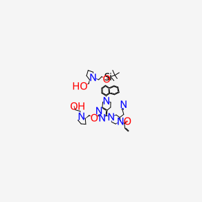 C=CC(=O)N1CCN(c2nc(OC[C@H]3CCCN3CCO)nc3c2CCN(c2cccc4ccccc24)C3)CC1CC#N.CC(C)(C)[Si](C)(C)OCCN1CCC[C@@H]1CO